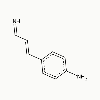 N=C/C=C/c1ccc(N)cc1